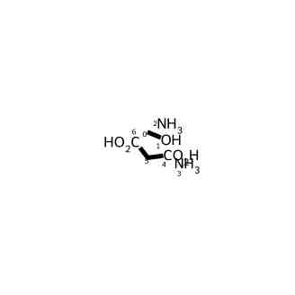 CO.N.N.O=C(O)CC(=O)O